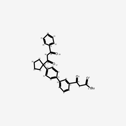 CC(C)(C)C(=O)CC(=O)c1cccc(-c2ccc(C3(C(=O)CC(=O)c4ccccc4)CCCC3)cc2)c1